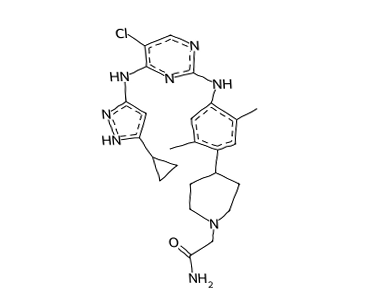 Cc1cc(C2CCN(CC(N)=O)CC2)c(C)cc1Nc1ncc(Cl)c(Nc2cc(C3CC3)[nH]n2)n1